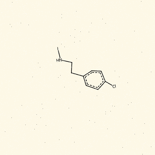 Clc1ccc(CCNI)cc1